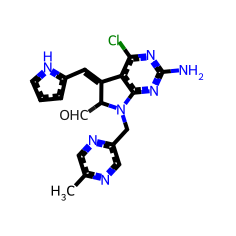 Cc1cnc(CN2c3nc(N)nc(Cl)c3/C(=C/c3ccc[nH]3)C2C=O)cn1